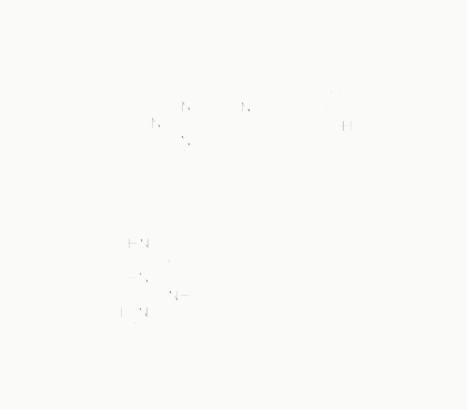 N=C(N)NC(=O)NCc1cccc(-c2cnc(NC3CCN(c4ccc(C(=O)O)cc4)CC3)nc2)c1